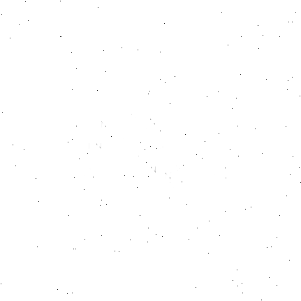 N=CC1=C(Nc2ccc(F)cc2)C=C2CCN(N(O)Sc3ccc(C(F)(F)F)cc3)CC2(C(=O)c2cscn2)C1